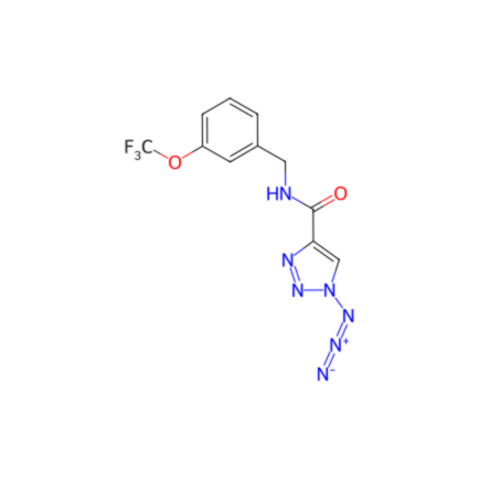 [N-]=[N+]=Nn1cc(C(=O)NCc2cccc(OC(F)(F)F)c2)nn1